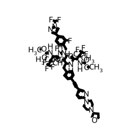 COC(=O)NC(C(=O)NC(Cc1ccc(C#Cc2ccc(N3CCN(C4CCOC4)CC3)nc2)cc1)C(O)CN(Cc1c(F)cc(-c2cnn(C(F)F)c2)cc1F)NC(=O)C(NC(=O)OC)C(C)(C)C(F)(F)F)C(C)(C)C(F)(F)F